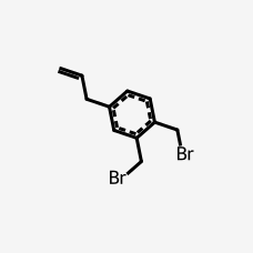 C=CCc1ccc(CBr)c(CBr)c1